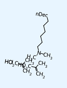 C=C(C)C(=O)O.C=C(C)C(=O)O.CCCCCCCCCCCCCCCCN(C)C.Cl